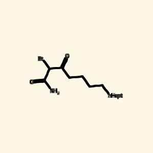 [CH2]CC(C(N)=O)C(=O)CCCCCCCCCCC